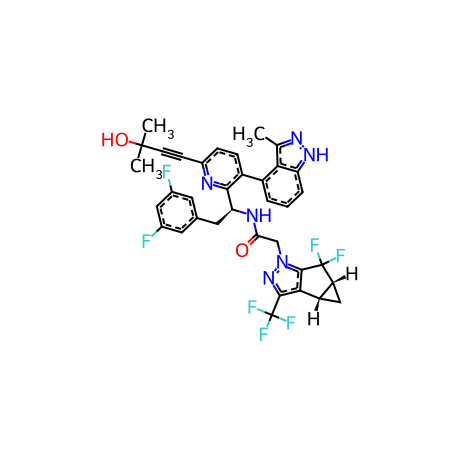 Cc1n[nH]c2cccc(-c3ccc(C#CC(C)(C)O)nc3[C@H](Cc3cc(F)cc(F)c3)NC(=O)Cn3nc(C(F)(F)F)c4c3C(F)(F)[C@@H]3C[C@H]43)c12